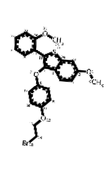 COc1ccc2c(Oc3ccc(OCCBr)cc3)c(-c3ccccc3OC)sc2c1